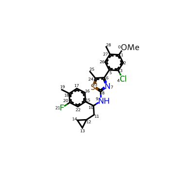 COc1cc(Cl)c(-c2nc(NC(CC3CC3)c3ccc(C)c(F)c3)sc2C)cc1C